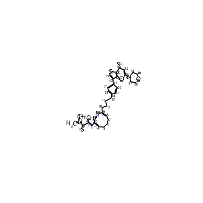 C\C(=C/C1=C/CCC\C=C(CCCCc2ccc(-c3csc4c(=S)cc(N5CCOCC5)oc34)cc2)/N=C\1)C(=S)N(C)C